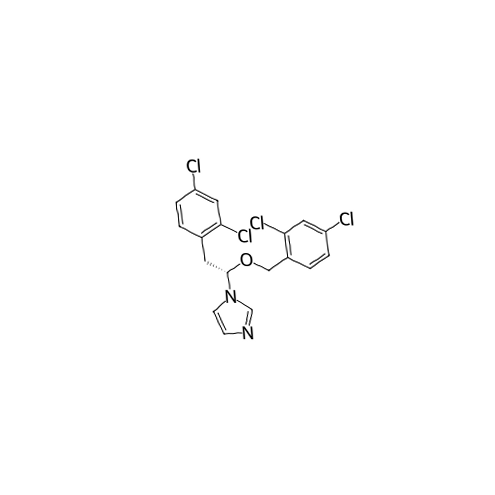 Clc1ccc(CO[C@@H](Cc2ccc(Cl)cc2Cl)n2ccnc2)c(Cl)c1